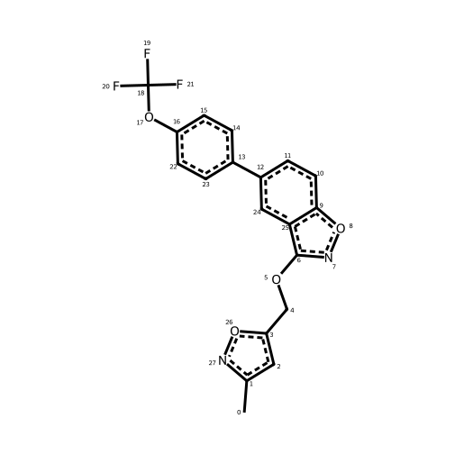 Cc1cc(COc2noc3ccc(-c4ccc(OC(F)(F)F)cc4)cc23)on1